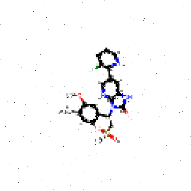 CCOc1cc([C@H](CS(C)(=O)=O)n2c(=O)[nH]c3cc(-c4ncccc4F)cnc32)ccc1OC